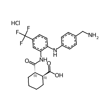 Cl.NCc1ccc(Nc2ccc(C(F)(F)F)cc2NC(=O)[C@H]2CCCC[C@@H]2C(=O)O)cc1